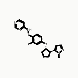 Cn1nccc1[C@H]1CCC[C@@H]1Oc1ccc(SNc2ccncn2)c(F)c1